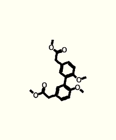 COC(=O)Cc1ccc(OC)c(-c2cc(CC(=O)OC)ccc2OC)c1